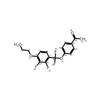 CCCOc1ccc(C(F)(F)Oc2ccc(C(C)=O)cc2)c(F)c1F